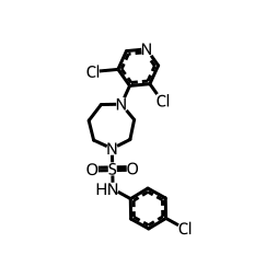 O=S(=O)(Nc1ccc(Cl)cc1)N1CCCN(c2c(Cl)cncc2Cl)CC1